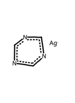 [Ag].c1ncncn1